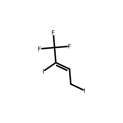 FC(F)(F)/C(I)=C/CI